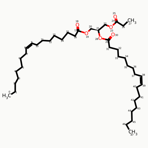 CCCCCCCC/C=C\CCCCCCCC(=O)OC[C@@H](COC(=O)CC)OC(=O)CCCCCCC/C=C\CCCCCCCC